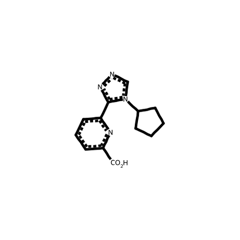 O=C(O)c1cccc(-c2nncn2C2CCCC2)n1